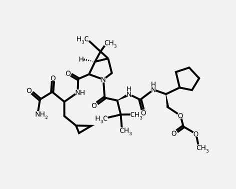 COC(=O)OC[C@@H](NC(=O)N[C@H](C(=O)N1CC2[C@@H](C1C(=O)NC(CC1CC1)C(=O)C(N)=O)C2(C)C)C(C)(C)C)C1CCCC1